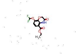 CCOC(=O)c1ccc(OC(F)F)c2c1NC(=O)CO2